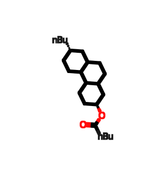 CCCCC(=O)O[C@H]1CCC2C(CCC3C[C@@H](CCCC)CCC32)C1